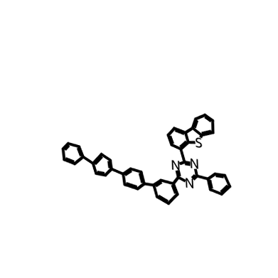 c1ccc(-c2ccc(-c3ccc(-c4cccc(-c5nc(-c6ccccc6)nc(-c6cccc7c6sc6ccccc67)n5)c4)cc3)cc2)cc1